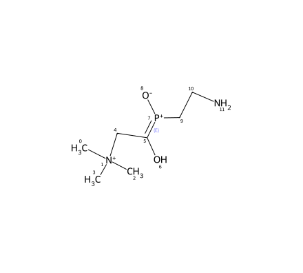 C[N+](C)(C)C/C(O)=[P+](\[O-])CCN